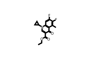 CCOC(=O)c1cn(C2CC2)c2cc(F)c(F)c(C)c2c1=O